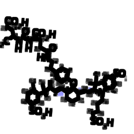 C=C(/C=C/C1=C(Oc2ccc(CCNC(=O)CC[C@H](NC(=O)NC(CCC(=O)O)C(=O)O)C(=O)O)cc2)C(=C/C=C2/N(CCCCS(=O)(=O)O)c3ccc(S(=O)(=O)O)cc3C2(C)C)/CCC1)C(C)(C)c1cc(S(=O)(=O)O)ccc1C